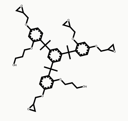 CC(C)(c1cc(C(C)(C)c2ccc(OCC3CO3)cc2OCCCO)cc(C(C)(C)c2ccc(OCC3CO3)cc2OCC2CO2)c1)c1ccc(OCC2CO2)cc1OCCCO